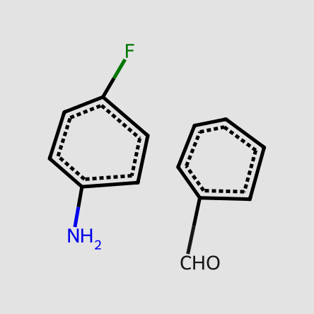 Nc1ccc(F)cc1.O=Cc1ccccc1